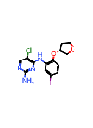 Nc1ncc(Cl)c(Nc2cc(I)ccc2O[C@@H]2CCOC2)n1